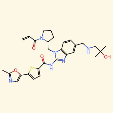 C=CC(=O)N1CCC[C@@H]1Cn1c(NC(=O)c2ccc(-c3cnc(C)o3)s2)nc2cc(CNCC(C)(C)O)ccc21